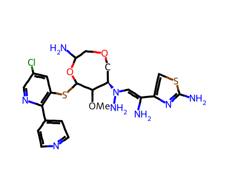 COC1C(Sc2cc(Cl)cnc2-c2ccncc2)OC(N)COC[C@H]1N(N)/C=C(\N)c1csc(N)n1